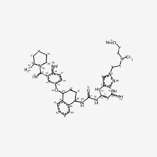 COCCN(C)CCn1cc(N/C(=C\C(=N)C(C)(C)C)NC(=O)NC2CCC(Oc3ccc(=N)n(C(=N)N4CCCCC4C)c3)c3ccccc32)cn1